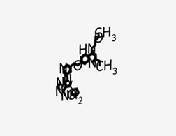 CCc1cc(NCCOC)c2ccc(OCc3cncc(-n4cc([C@H]5CCCO5)c5c(N)ncnc54)c3)cc2n1